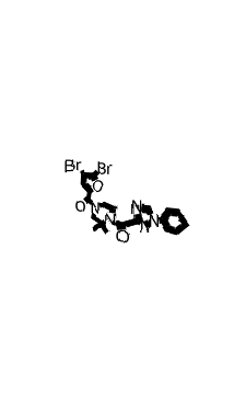 CC1(C)CN(C(=O)c2cc(Br)c(Br)o2)CCN1C(=O)c1ncn(-c2ccccc2)n1